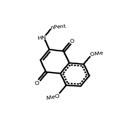 CCCCCNC1=CC(=O)c2c(OC)ccc(OC)c2C1=O